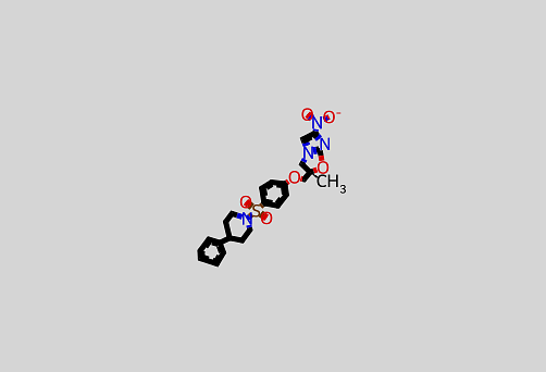 C[C@]1(COc2ccc(S(=O)(=O)N3CCC(c4ccccc4)CC3)cc2)Cn2cc([N+](=O)[O-])nc2O1